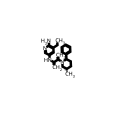 C=C(Nc1cnc(N)c(CC)c1)C(=C)N1C[C@H](C)CCC1c1ccccc1